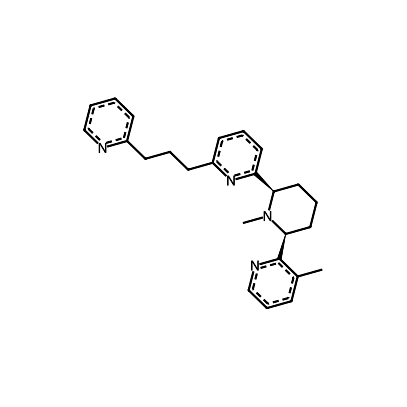 Cc1cccnc1[C@@H]1CCC[C@H](c2cccc(CCCc3ccccn3)n2)N1C